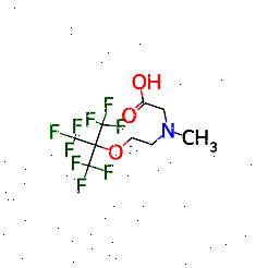 CN(CCOC(C(F)(F)F)(C(F)(F)F)C(F)(F)F)CC(=O)O